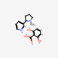 CN1CCCC1c1cccnc1.O=C(O)c1c(O)cccc1O